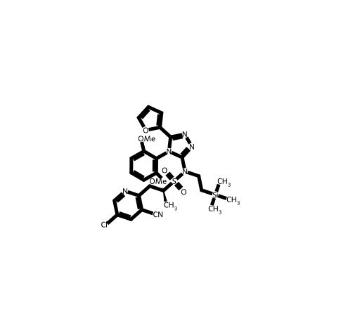 COc1cccc(OC)c1-n1c(-c2ccco2)nnc1N(CC[Si](C)(C)C)S(=O)(=O)[C@@H](C)Cc1ncc(Cl)cc1C#N